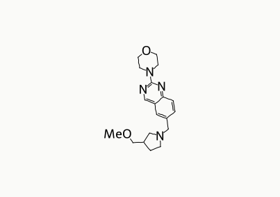 COCC1CCN(Cc2ccc3nc(N4CCOCC4)ncc3c2)C1